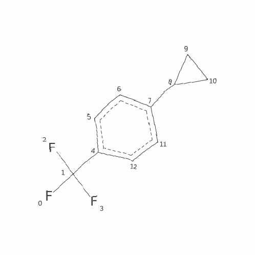 FC(F)(F)c1ccc([C]2CC2)cc1